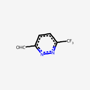 O=Cc1ccc(C(F)(F)F)nn1